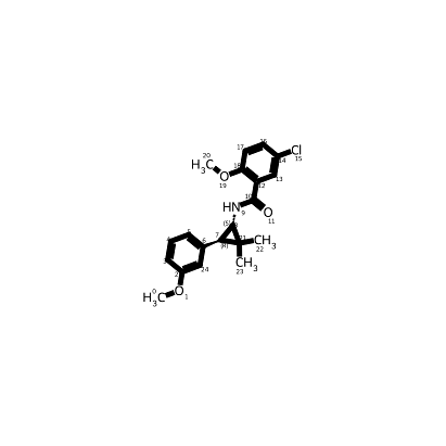 COc1cccc([C@H]2[C@H](NC(=O)c3cc(Cl)ccc3OC)C2(C)C)c1